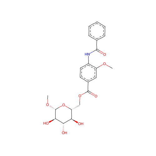 COc1cc(C(=O)OC[C@H]2O[C@@H](OC)[C@H](O)[C@@H](O)[C@@H]2O)ccc1NC(=O)c1ccccc1